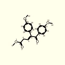 COC(=O)C/C=C(/C(=O)c1ccc(OC)cc1)c1ccc(OC)cc1